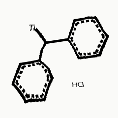 Cl.[Ti][CH](c1ccccc1)c1ccccc1